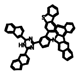 c1ccc2cc(C3=NC(c4ccc(-n5c6cc7ccccc7cc6c6c7ccccc7ccc65)c(-c5ccc6c(c5)sc5ccccc56)c4)=NC(c4ccc5ccccc5c4)N3)ccc2c1